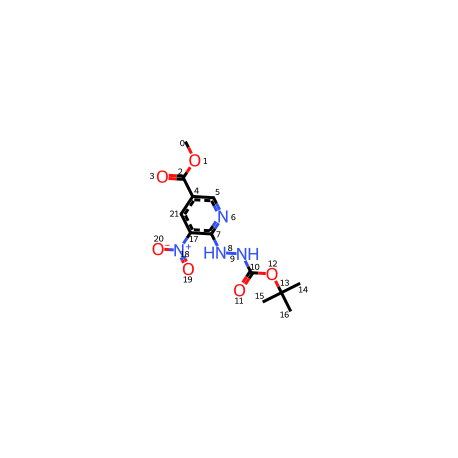 COC(=O)c1cnc(NNC(=O)OC(C)(C)C)c([N+](=O)[O-])c1